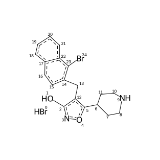 Br.Oc1noc(C2CCNCC2)c1Cc1ccc2ccccc2c1Br